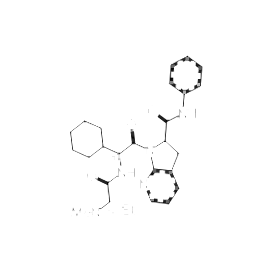 CC[C@H](NC)C(=O)N[C@H](C(=O)N1c2ncccc2CC1C(=O)Nc1ccccc1)C1CCCCC1